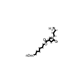 CCCCCCCCCCCCCCCCOC(=O)C1CC(=O)N(CCCN)C1